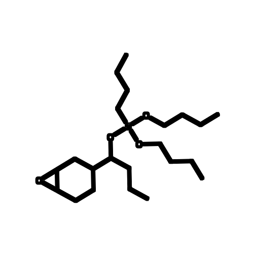 CCCCO[Si](CCCC)(OCCCC)OC(CCC)C1CCC2OC2C1